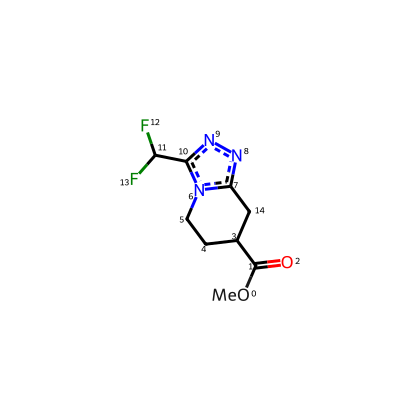 COC(=O)C1CCn2c(nnc2C(F)F)C1